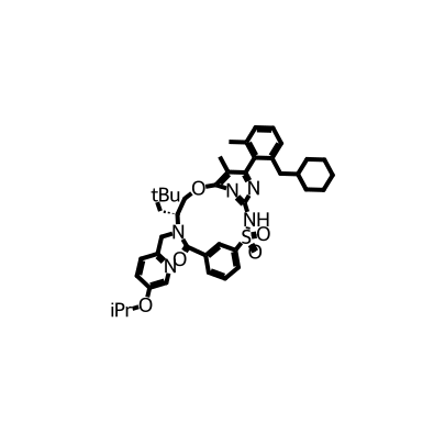 Cc1cccc(CC2CCCCC2)c1-c1nc2nc(c1C)OC[C@@H](CC(C)(C)C)N(Cc1ccc(OC(C)C)cn1)C(=O)c1cccc(c1)S(=O)(=O)N2